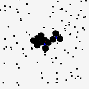 C1=CCC2C(=C1)C1(c3ccccc32)c2ccccc2C2(c3ccccc3-c3ccccc32)c2ccc(N(c3ccccc3)c3ccc(-c4ccc(N(c5ccccc5)c5ccccc5)cc4)cc3)cc21